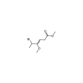 COC(=O)CC=C(OC)C(C)Br